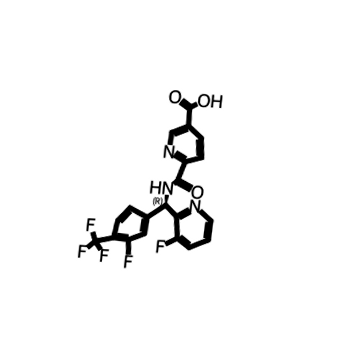 O=C(O)c1ccc(C(=O)N[C@H](c2ccc(C(F)(F)F)c(F)c2)c2ncccc2F)nc1